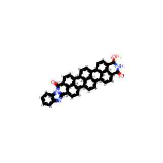 O=C1NC(O)c2ccc3c4ccc5c6ccc7c(=O)n8c9ccccc9nc8c8ccc(c9ccc(c%10ccc1c2c3%10)c4c59)c6c78